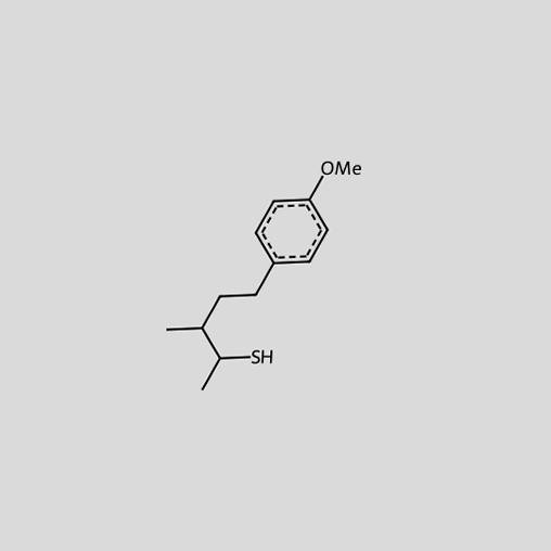 COc1ccc(CCC(C)C(C)S)cc1